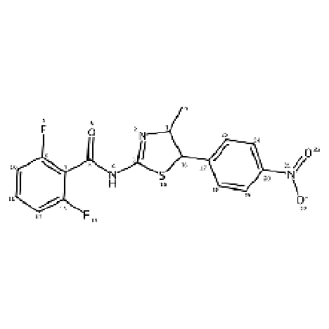 CC1N=C(NC(=O)c2c(F)cccc2F)SC1c1ccc([N+](=O)[O-])cc1